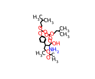 CC(=O)OC(C)CC(c1ccc(OC(=O)OCCC(C)C)c(OC(=O)OCCC(C)C)c1)[C@H](N)C(=O)O